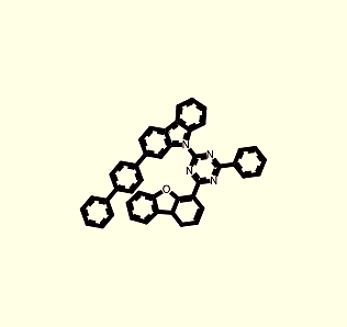 C1=CC(c2nc(-c3ccccc3)nc(-n3c4ccccc4c4ccc(-c5ccc(-c6ccccc6)cc5)cc43)n2)=C2Oc3ccccc3C2C1